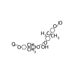 CC(C)(C1CCC(OCC(O)COC2CCC(C(C)(C)C3CCC(OCC4CO4)CC3)CC2)CC1)C1CCC(OCC2CO2)CC1